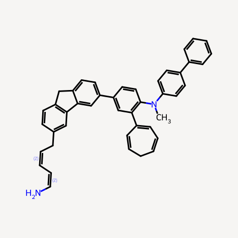 CN(c1ccc(-c2ccccc2)cc1)c1ccc(-c2ccc3c(c2)-c2cc(C/C=C\C=C/N)ccc2C3)cc1C1=CC=CCC=C1